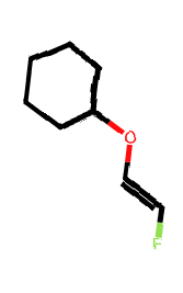 F/C=C/O[C]1CCCCC1